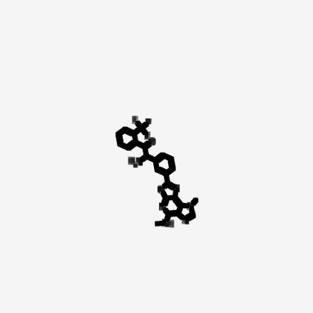 CNc1nc2oc(-c3cccc(C(N)C(=O)c4ccccc4C(F)(F)F)c3)nc2c2c1ncn2C